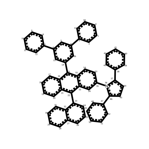 c1ccc(-c2cc(-c3ccccc3)cc(-c3c4ccccc4c(-c4cccc5ccccc45)c4cc(-n5c(-c6ccccc6)ccc5-c5ccccc5)ccc34)c2)cc1